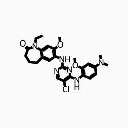 CCN1C(=O)CCCc2cc(Nc3ncc(Cl)c(Nc4ccc(N(C)C)cc4OC)n3)c(OC)cc21